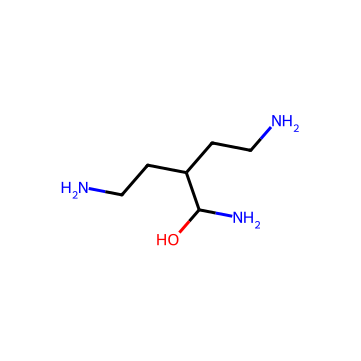 NCCC(CCN)C(N)O